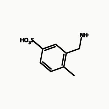 Cc1ccc(S(=O)(=O)O)cc1C[NH]